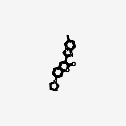 Cc1ccc2nc(-c3cc4ccc(N5C[CH]CC5)cc4oc3=O)cn2c1